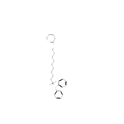 CC(C)(CCCCCCCCCOC1CCCCO1)[Si](O)(c1ccccc1)c1ccccc1